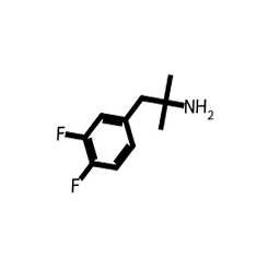 CC(C)(N)Cc1ccc(F)c(F)c1